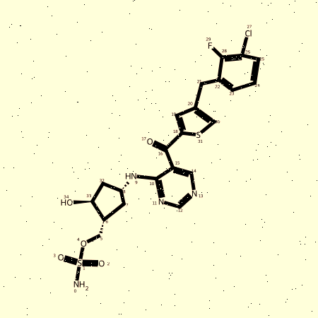 NS(=O)(=O)OC[C@H]1C[C@@H](Nc2ncncc2C(=O)c2cc(Cc3cccc(Cl)c3F)cs2)C[C@@H]1O